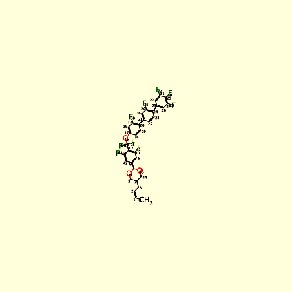 C/C=C\CC1COC(c2cc(F)c(C(F)(F)Oc3ccc(-c4ccc(-c5cc(F)c(F)c(F)c5)c(F)c4)c(F)c3)c(F)c2)OC1